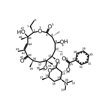 CC[C@H]1OC(=O)[C@H](C)[C@@H](O)[C@H](C)[C@@H](OC2O[C@H](C)C[C@H](N(C)C)[C@H]2OC(=O)c2ccccc2)[C@](C)(OC)C[C@@H](C)C(=O)/C(C)=C/[C@]1(C)O